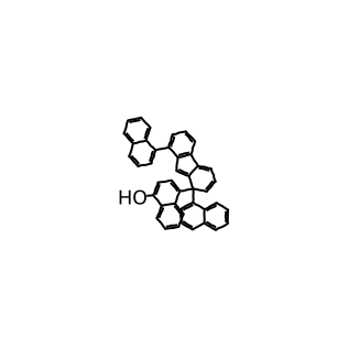 Oc1ccc(C2(c3cccc4ccccc34)C=CC=C3C2=Cc2c3cccc2-c2cccc3ccccc23)c2ccccc12